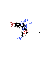 CCOCc1nc2c(N)nc3cc(Br)ccc3c2n1CCCCN